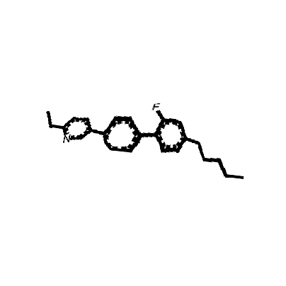 CCCCCc1ccc(-c2ccc(-c3ccc(CC)nc3)cc2)c(F)c1